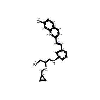 OCC(COc1cccc(/C=C/c2ccc3ccc(Cl)cc3n2)c1)OCC1CC1